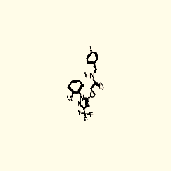 Cc1ccc(CNC(=O)COc2cc(C(F)(F)F)nn2-c2ccccc2Cl)cc1